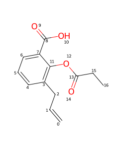 C=CCc1cccc(C(=O)O)c1OC(=O)CC